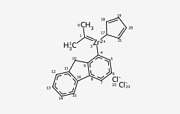 C[C](C)=[Zr+2]([c]1cccc2c1Cc1ccccc1-2)[CH]1C=CC=C1.[Cl-].[Cl-]